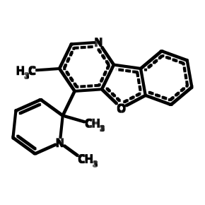 Cc1cnc2c(oc3ccccc32)c1C1(C)C=CC=CN1C